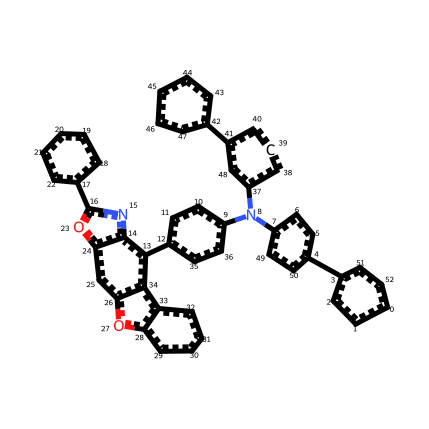 c1ccc(-c2ccc(N(c3ccc(-c4c5nc(-c6ccccc6)oc5cc5oc6ccccc6c45)cc3)c3cccc(-c4ccccc4)c3)cc2)cc1